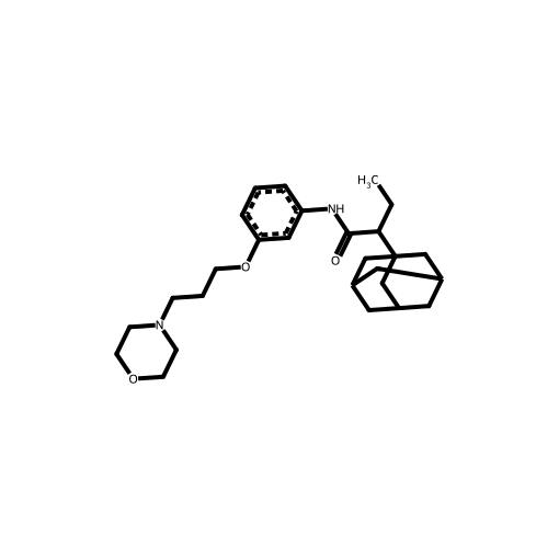 CCC(C(=O)Nc1cccc(OCCCN2CCOCC2)c1)C12CC3CC(CC(C3)C1)C2